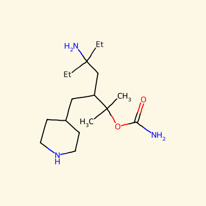 CCC(N)(CC)CC(CC1CCNCC1)C(C)(C)OC(N)=O